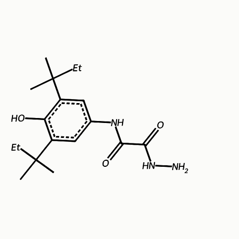 CCC(C)(C)c1cc(NC(=O)C(=O)NN)cc(C(C)(C)CC)c1O